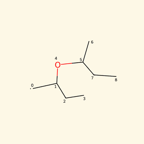 [CH2]C(CC)OC(C)CC